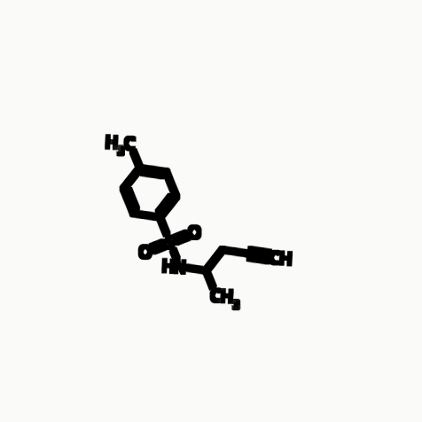 C#CCC(C)NS(=O)(=O)c1ccc(C)cc1